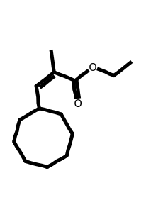 CCOC(=O)C(C)=CC1CCCCCCC1